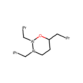 CC(C)CC1C[CH2][Al]([CH2]C(C)C)[Al]([CH2]C(C)C)[O]1